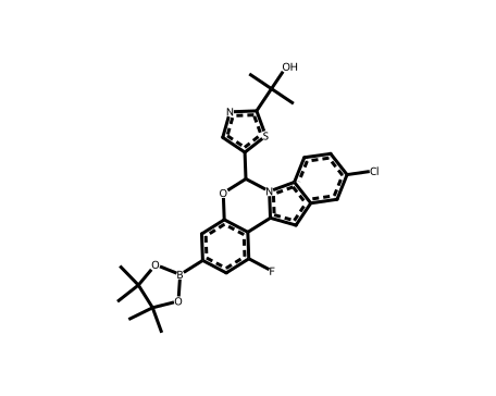 CC(C)(O)c1ncc(C2Oc3cc(B4OC(C)(C)C(C)(C)O4)cc(F)c3-c3cc4cc(Cl)ccc4n32)s1